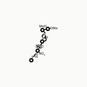 COc1ccc(-c2ccccc2CN2CCN3c4ccc(C(=O)NS(=O)(=O)c5ccc(NCCSc6ccccc6)c([N+](=O)[O-])c5)cc4CC[C@H]3C2)c(OC)c1